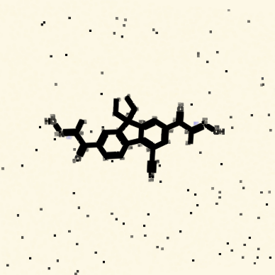 CCC1(CC)c2cc(C(=O)/C(C)=N/O)ccc2-c2c(C#N)cc(C(=O)/C(C)=N/O)cc21